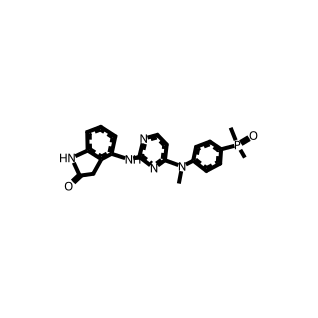 CN(c1ccc(P(C)(C)=O)cc1)c1ccnc(Nc2cccc3c2CC(=O)N3)n1